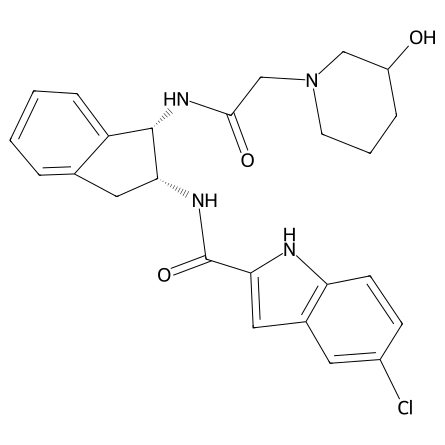 O=C(CN1CCCC(O)C1)N[C@H]1c2ccccc2C[C@H]1NC(=O)c1cc2cc(Cl)ccc2[nH]1